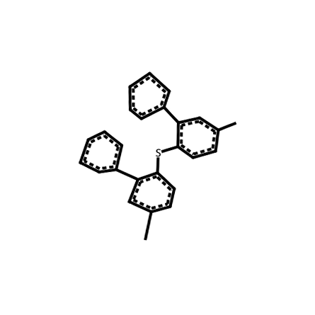 Cc1ccc(Sc2ccc(C)cc2-c2ccccc2)c(-c2ccccc2)c1